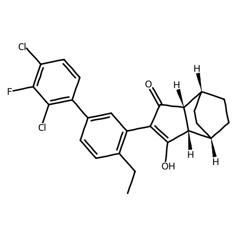 CCc1ccc(-c2ccc(Cl)c(F)c2Cl)cc1C1=C(O)[C@H]2[C@H]3CC[C@H](CC3)[C@H]2C1=O